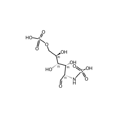 O=C[C@@H](NS(=O)(=O)O)[C@@H](O)[C@H](O)[C@H](O)COS(=O)(=O)O